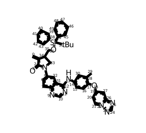 C=C1C(=O)N(c2ccc3ncnc(Nc4ccc(Oc5ccn6ncnc6c5)c(C)c4)c3c2)CC1CO[Si](c1ccccc1)(c1ccccc1)C(C)(C)C